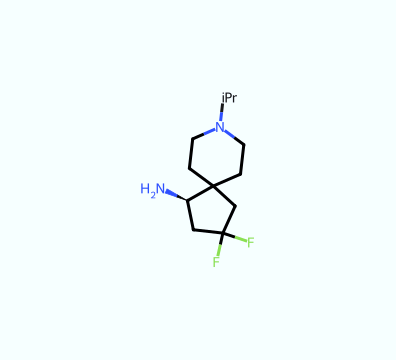 CC(C)N1CCC2(CC1)CC(F)(F)C[C@H]2N